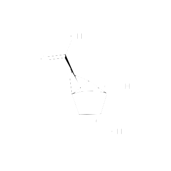 C[C@@H]1CC23OC2[C@@H]1C[C@@H]3C(=O)O